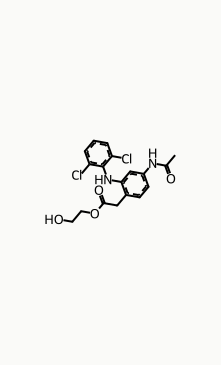 CC(=O)Nc1ccc(CC(=O)OCCO)c(Nc2c(Cl)cccc2Cl)c1